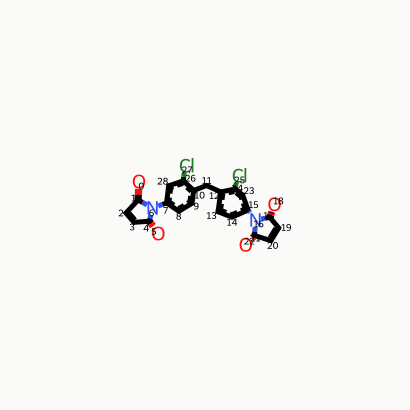 O=C1C=CC(=O)N1c1ccc(Cc2ccc(N3C(=O)C=CC3=O)cc2Cl)c(Cl)c1